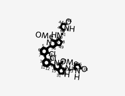 COc1nc(-c2cccc(-c3cccc(-c4cc5c(c(OC)n4)[C@H](NC[C@@H]4CCC(=O)N4)CC5)c3Cl)c2Cl)cc2c1[C@@H](NC[C@@H]1CCC(=O)N1)CC2